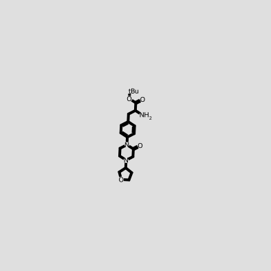 CC(C)(C)OC(=O)C(N)Cc1ccc(N2CCN(C3CCOC3)CC2=O)cc1